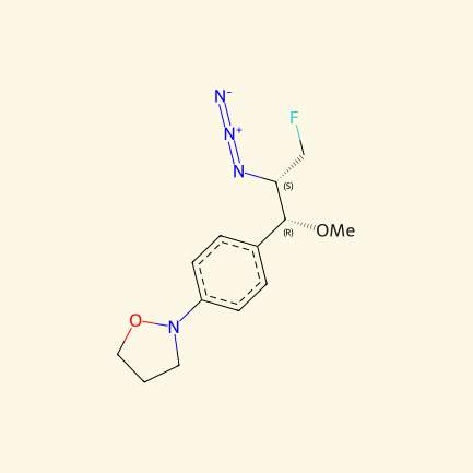 CO[C@H](c1ccc(N2CCCO2)cc1)[C@@H](CF)N=[N+]=[N-]